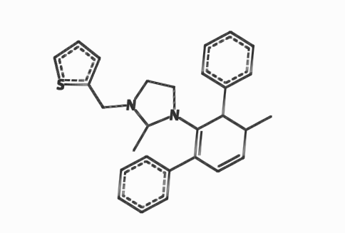 CC1C=CC(c2ccccc2)=C(N2CCN(Cc3cccs3)C2C)C1c1ccccc1